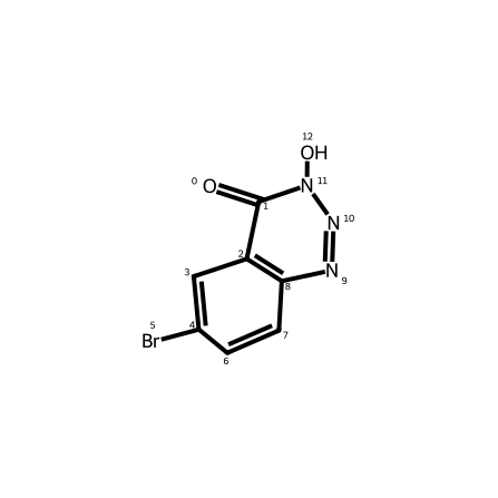 O=c1c2cc(Br)ccc2nnn1O